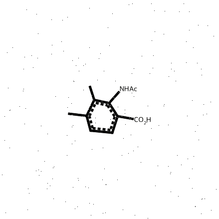 CC(=O)Nc1c(C(=O)O)ccc(C)c1C